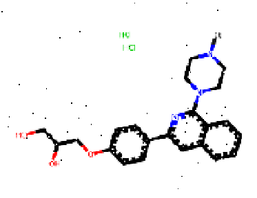 CCN1CCN(c2nc(-c3ccc(OCC(O)CO)cc3)cc3ccccc23)CC1.Cl.Cl